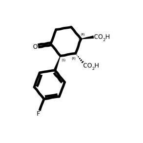 O=C(O)[C@@H]1[C@@H](c2ccc(F)cc2)C(=O)CC[C@H]1C(=O)O